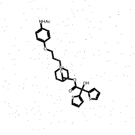 CC(=O)Nc1ccc(OCCC[N+]23CCC(CC2)C(OC(=O)C(O)(c2cccs2)c2cccs2)C3)cc1